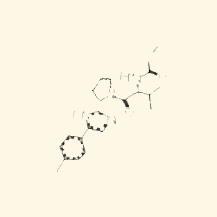 COC(=O)N[C@H](C(=O)N1CCC[C@H]1c1ncc(-c2ccc(C)cc2)[nH]1)C(C)C